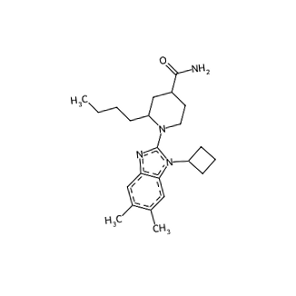 CCCCC1CC(C(N)=O)CCN1c1nc2cc(C)c(C)cc2n1C1CCC1